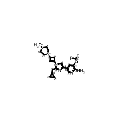 CN1CCN(C2C=C(n3cc(-c4cnc(N)c(OC(F)F)c4)nc3CC3CC3)C2)CC1